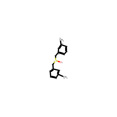 Cc1cccc(C[S+]([O-])Cc2cccc(C)c2)c1